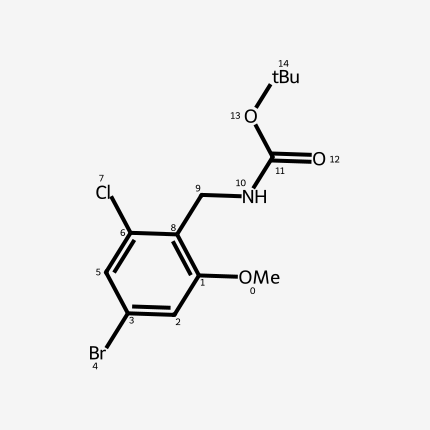 COc1cc(Br)cc(Cl)c1CNC(=O)OC(C)(C)C